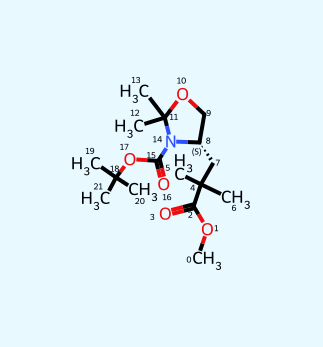 COC(=O)C(C)(C)C[C@H]1COC(C)(C)N1C(=O)OC(C)(C)C